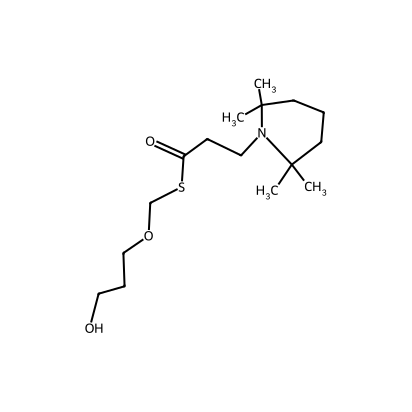 CC1(C)CCCC(C)(C)N1CCC(=O)SCOCCCO